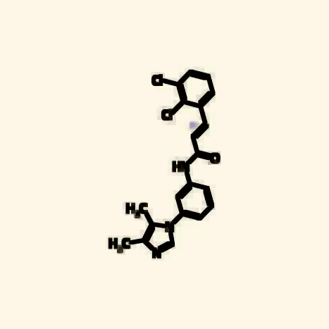 Cc1ncn(-c2cccc(NC(=O)/C=C/c3cccc(Cl)c3Cl)c2)c1C